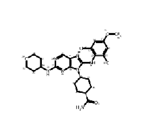 NC(=O)[C@H]1CC[C@@H](n2c(Nc3c(Cl)cc(OC(F)(F)F)cc3Cl)nc3cnc(NC4CCOCC4)nc32)CC1